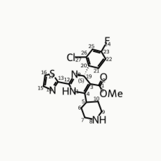 COC(=O)C1=C(C2CCNCC2)NC(c2nccs2)=N[C@@H]1c1ccc(F)cc1Cl